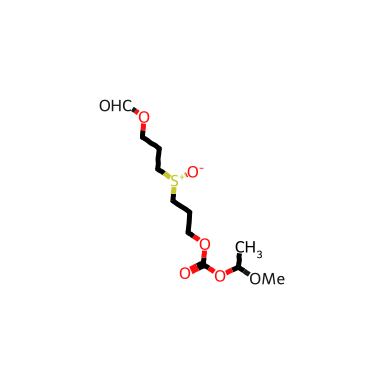 COC(C)OC(=O)OCCC[S+]([O-])CCCOC=O